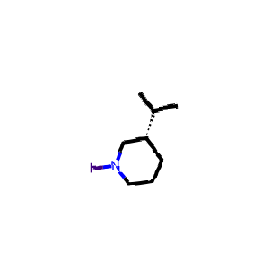 CC(C)[C@@H]1CCCN(I)C1